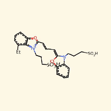 CCc1cccc2oc(C=CC=C3Oc4ccccc4N3CCCS(=O)(=O)O)[n+](CCCS(=O)(=O)O)c12